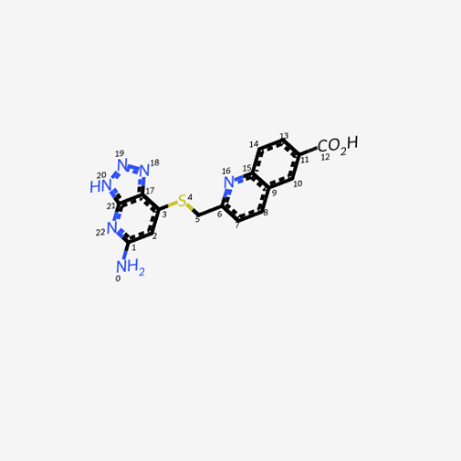 Nc1cc(SCc2ccc3cc(C(=O)O)ccc3n2)c2nn[nH]c2n1